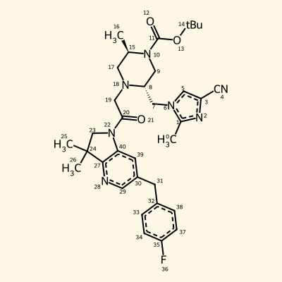 Cc1nc(C#N)cn1C[C@H]1CN(C(=O)OC(C)(C)C)[C@H](C)CN1CC(=O)N1CC(C)(C)c2ncc(Cc3ccc(F)cc3)cc21